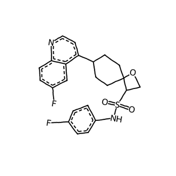 O=S(=O)(Nc1ccc(F)cc1)C1COC12CCC(c1ccnc3ccc(F)cc13)CC2